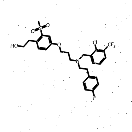 CS(=O)(=O)c1cc(OCCCN(CCc2ccc(F)cc2)Cc2cccc(C(F)(F)F)c2Cl)ccc1CCO